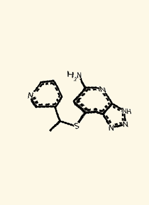 CC(Sc1cc(N)nc2[nH]nnc12)c1cccnc1